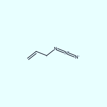 C=C[CH]N=[N+]=[N-]